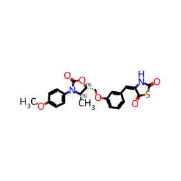 COc1ccc(N2C(=O)O[C@H](COc3cccc(C=C4NC(=O)SC4=O)c3)[C@@H]2C)cc1